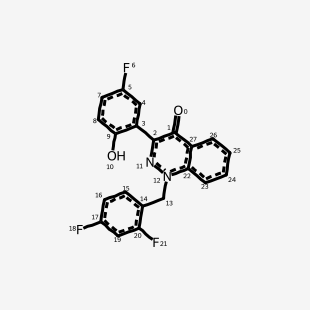 O=c1c(-c2cc(F)ccc2O)nn(Cc2ccc(F)cc2F)c2ccccc12